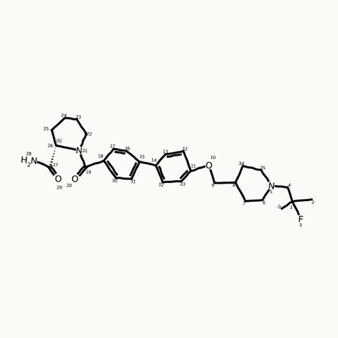 CC(C)(F)CN1CCC(COc2ccc(-c3ccc(C(=O)N4CCCC[C@H]4C(N)=O)cc3)cc2)CC1